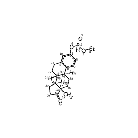 CCO[PH](=O)Oc1ccc2c(c1)CC[C@@H]1[C@@H]2CC[C@]2(C)C(=O)CC[C@@H]12